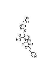 O=C(O)Cc1nnc(SCC2=C(C(=O)O)N3C(=O)C(NC(=O)CSc4ccncc4)[C@H]3SC2)o1